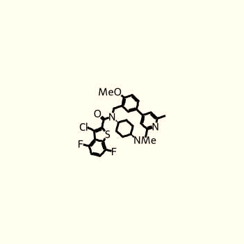 CN[C@H]1CC[C@H](N(Cc2cc(-c3cc(C)nc(C)c3)ccc2OC)C(=O)c2sc3c(F)ccc(F)c3c2Cl)CC1